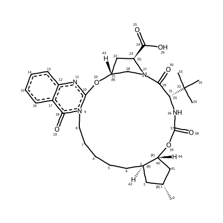 C[C@@H]1C[C@H]2CCCCCn3c(nc4ccccc4c3=O)O[C@@H]3C[C@@H](C(=O)O)N(C3)C(=O)[C@H](C(C)(C)C)NC(=O)O[C@@H]2C1